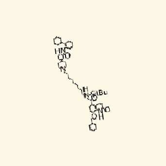 CC(C)(C)[Si](C)(C)O[C@H](CNCCCCCCCCCN1CCC(OC(=O)Nc2ccccc2-c2ccccc2)CC1)c1ccc(OCc2ccccc2)c2[nH]c(=O)ccc12